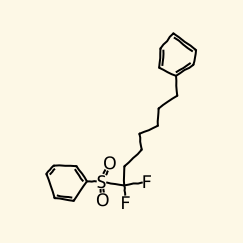 O=S(=O)(c1ccccc1)C(F)(F)CCCCCCc1ccccc1